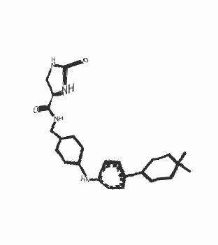 CC1(C)CCC(c2ccc(NC3CCC(CNC(=O)[C@H]4CNC(=O)N4)CC3)cc2)CC1